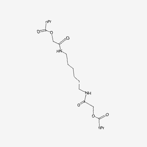 CCCC(=O)OCC(=O)NCCCCCCNC(=O)COC(=O)CCC